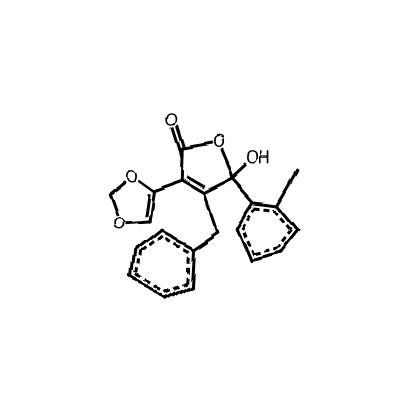 Cc1ccccc1C1(O)OC(=O)C(C2=COCO2)=C1Cc1ccccc1